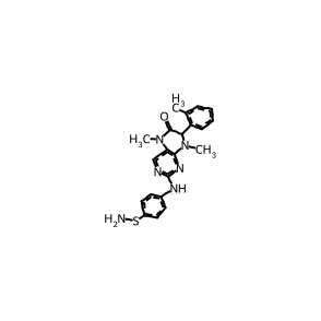 Cc1ccccc1C1C(=O)N(C)c2cnc(Nc3ccc(SN)cc3)nc2N1C